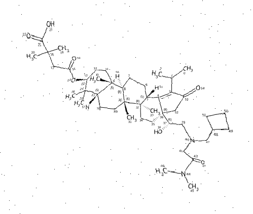 CC(C)C1=C2[C@H]3CC[C@@H]4[C@@]5(C)CC[C@H](OC(=O)CC(C)(C)C(=O)O)C(C)(C)[C@H]5CC[C@@]4(C)[C@]3(C)CC[C@@]2([C@@H](O)CN(CC(=O)N(C)C)CC2CCC2)CC1=O